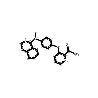 CN(c1ccc(Oc2cccnc2C(N)=O)cc1)c1ncnc2ccccc12